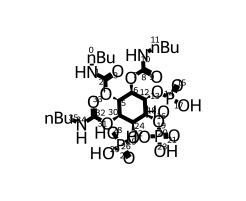 CCCCNC(=O)O[C@@H]1[C@@H](OC(=O)NCCCC)[C@H](OP(=O)(O)O)[C@@H](OP(=O)(O)O)[C@@H](OP(=O)(O)O)[C@H]1OC(=O)NCCCC